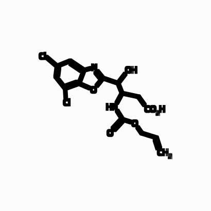 C=CCOC(=O)NC(CC(=O)O)C(O)c1nc2cc(Cl)cc(Cl)c2o1